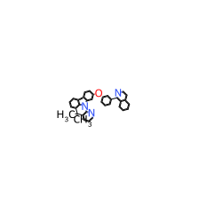 CC1(C)c2cccnc2-n2c3cc(Oc4cccc(-c5nccc6ccccc56)c4)ccc3c3cccc1c32